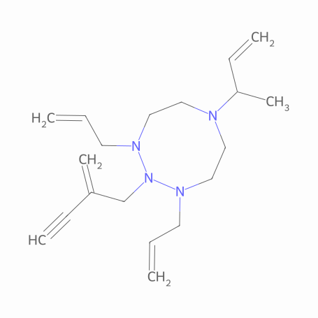 C#CC(=C)CN1N(CC=C)CCN(C(C)C=C)CCN1CC=C